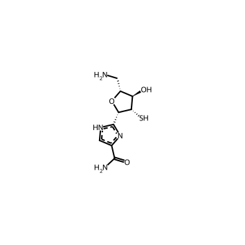 NC[C@H]1O[C@@H](c2nc(C(N)=O)c[nH]2)[C@@H](S)[C@@H]1O